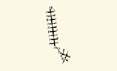 FC(F)(F)C(F)(F)C(F)(F)C(F)(F)C(F)(F)C(F)(F)C(F)(F)C(F)(F)C(F)(F)C(F)(F)OOOC(F)(F)C(F)(F)[Si](F)(F)F